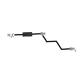 BCCCBC#CC